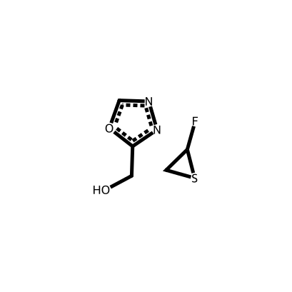 FC1CS1.OCc1nnco1